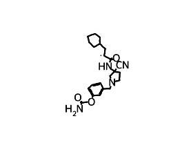 N#CC1(NC(=O)[CH]CC2CCCCC2)CCN(Cc2cccc(OC(N)=O)c2)C1